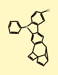 Clc1ccc2c(c1)c1cc3c(cc1n2-c1ccccc1)C1C=CC12C=CC1C3C12